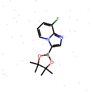 CC1(C)OB(c2cnc3c(F)cccn23)OC1(C)C